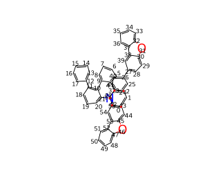 c1ccc(-c2ccccc2-c2c(-c3ccccc3)cccc2N(c2ccc(-c3ccc4oc5ccccc5c4c3)cc2)c2ccc3oc4ccccc4c3c2)cc1